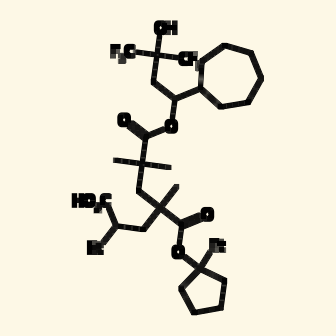 CCC(CC(C)(CC(C)(C)C(=O)OC(CC(O)(C(F)(F)F)C(F)(F)F)C1CCCCCC1)C(=O)OC1(CC)CCCC1)C(=O)O